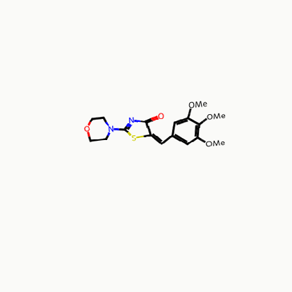 COc1cc(C=C2SC(N3CCOCC3)=NC2=O)cc(OC)c1OC